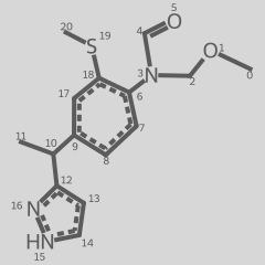 COCN(C=O)c1ccc(C(C)c2cc[nH]n2)cc1SC